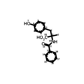 CC(Cc1ccc(O)cc1)(NC(=O)c1ccccc1)C(=O)O